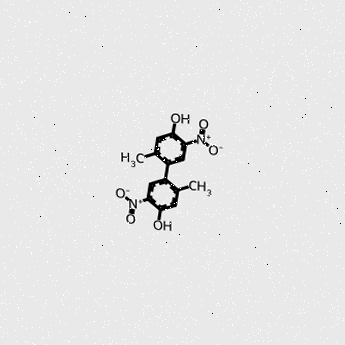 Cc1cc(O)c([N+](=O)[O-])cc1-c1cc([N+](=O)[O-])c(O)cc1C